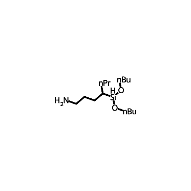 CCCCO[SiH](OCCCC)C(CCC)CCCN